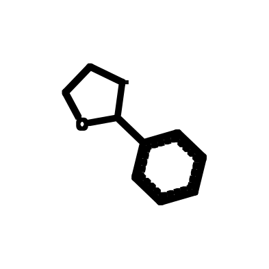 [CH]1CCOC1c1ccccc1